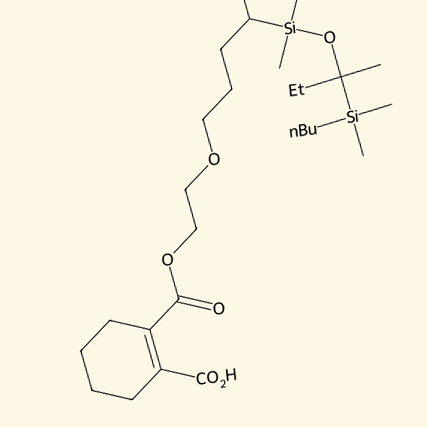 CCCC[Si](C)(C)C(C)(CC)O[Si](C)(C)C(C)CCCOCCOC(=O)C1=C(C(=O)O)CCCC1